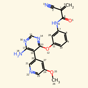 C=C(C#N)C(=O)Nc1cccc(Oc2ncnc(N)c2-c2cncc(OC)c2)c1